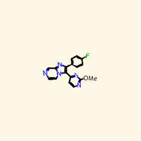 COc1nccc(-c2c(-c3ccc(F)cc3)nc3cnccn23)n1